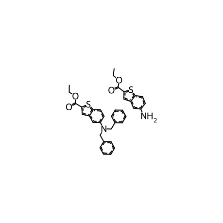 CCOC(=O)c1cc2cc(N(Cc3ccccc3)Cc3ccccc3)ccc2s1.CCOC(=O)c1cc2cc(N)ccc2s1